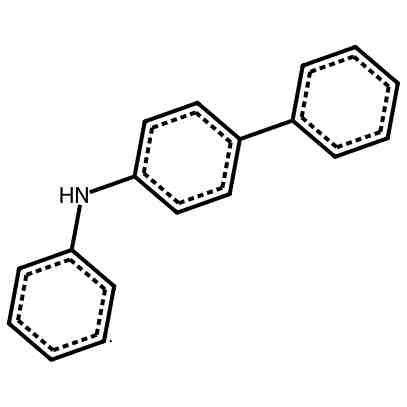 [c]1cccc(Nc2ccc(-c3ccccc3)cc2)c1